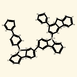 c1ccc(-c2ccc(-n3c4ccccc4c4ccc(-c5ccc6c(c5)c5ccccc5n6-c5cc(-c6ccccc6)c6c(c5)-c5ccccc5C6)cc43)cc2)cc1